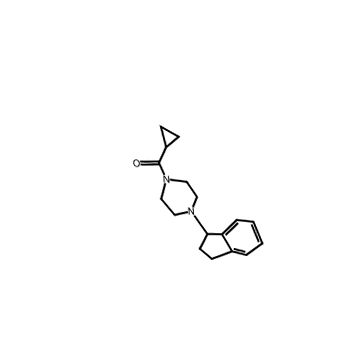 O=C(C1CC1)N1CCN(C2CCc3ccccc32)CC1